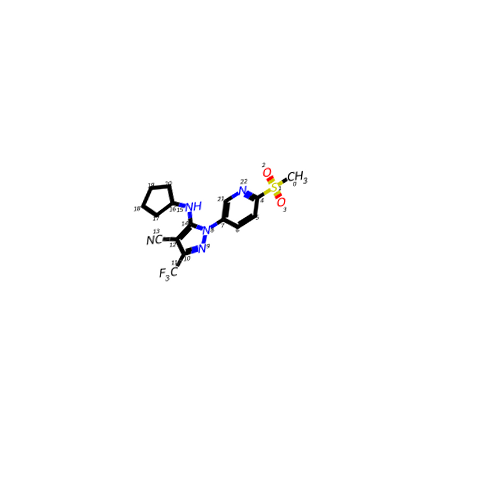 CS(=O)(=O)c1ccc(-n2nc(C(F)(F)F)c(C#N)c2NC2CCCC2)cn1